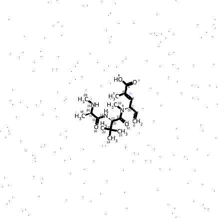 C=C[C@@H](/C=C(\C)C(=O)O)N(C)C(=O)[C@@H](NC(=O)[C@@H](C)NC)C(C)(C)C